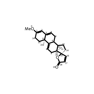 COC1=CC2=CCC3C(=CC[C@@]4(C)C3CC[C@@]43C=CC(=O)O3)[C@@]2(C)CC1